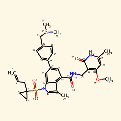 C=CCC1(S(=O)(=O)n2cc(C)c3c(C(=O)NCc4c(OC)cc(C)[nH]c4=O)cc(-c4ccc(CN(C)C)cc4)cc32)CC1